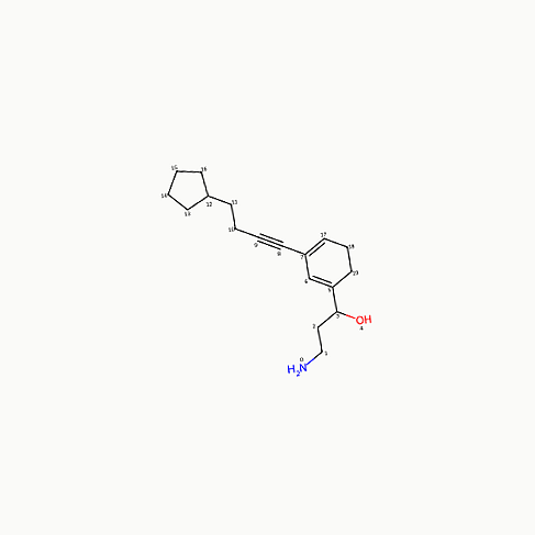 NCCC(O)C1=CC(C#CCCC2CCCC2)=CCC1